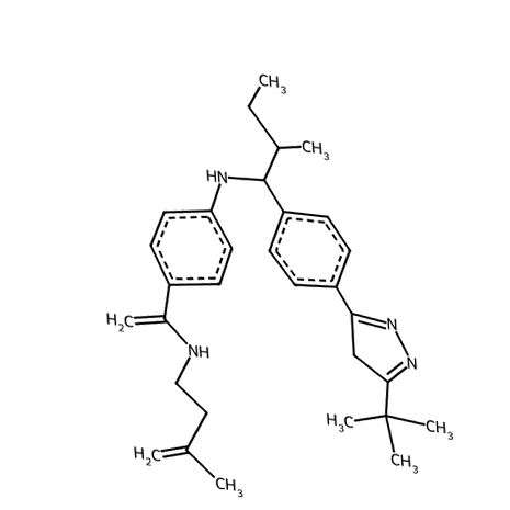 C=C(C)CCNC(=C)c1ccc(NC(c2ccc(C3=NN=C(C(C)(C)C)C3)cc2)C(C)CC)cc1